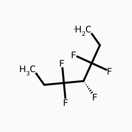 [CH2]CC(F)(F)[C@H](F)C(F)(F)CC